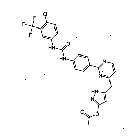 CC(=O)Oc1cc(Cc2ccnc(-c3ccc(NC(=O)Nc4ccc(Cl)c(C(F)(F)F)c4)cc3)n2)[nH]n1